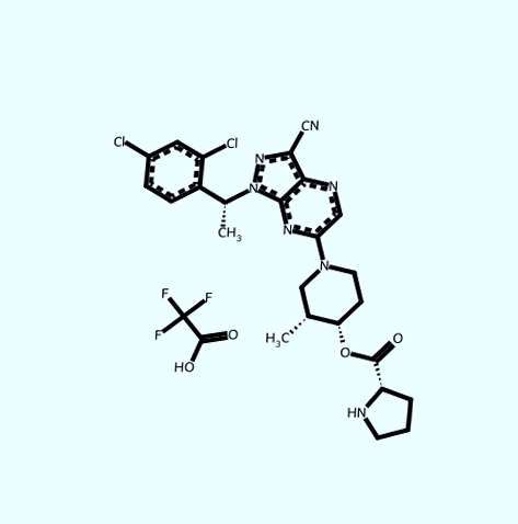 C[C@@H]1CN(c2cnc3c(C#N)nn([C@H](C)c4ccc(Cl)cc4Cl)c3n2)CC[C@@H]1OC(=O)[C@@H]1CCCN1.O=C(O)C(F)(F)F